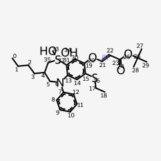 CCCCC1CN(c2ccccc2)c2cc(SCC)c(O/C=C/C(=O)OC(C)(C)C)cc2S(O)(O)C1